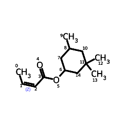 C/C=C\C(=O)OC1CC(C)CC(C)(C)C1